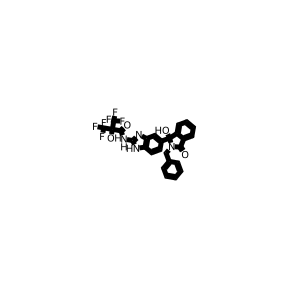 O=C1c2ccccc2C(O)(c2ccc3[nH]c(NC(=O)C(O)(C(F)(F)F)C(F)(F)F)nc3c2)N1Cc1ccccc1